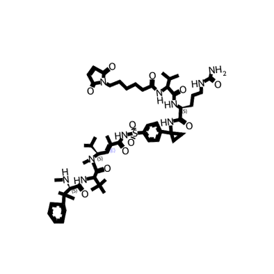 CN[C@H](C(=O)NC(C(=O)N(C)[C@H](/C=C(\C)C(=O)NS(=O)(=O)c1ccc(C2(NC(=O)[C@H](CCCNC(N)=O)NC(=O)C(NC(=O)CCCCCN3C(=O)C=CC3=O)C(C)C)CC2)cc1)C(C)C)C(C)(C)C)C(C)(C)c1ccccc1